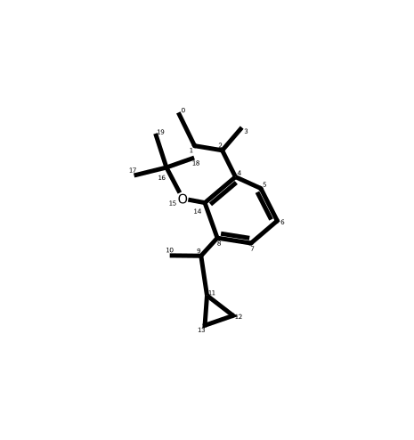 CCC(C)c1cccc(C(C)C2CC2)c1OC(C)(C)C